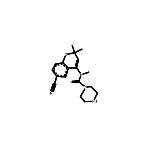 CN(C(=O)N1CCNCC1)C1=CC(C)(C)Oc2ccc(C#N)cc21